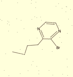 CCCCc1nccnc1Br